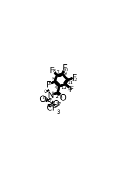 CN(C(=O)c1c(F)c(F)c(F)c(F)c1F)S(=O)(=O)C(F)(F)F